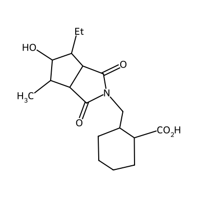 CCC1C(O)C(C)C2C(=O)N(CC3CCCCC3C(=O)O)C(=O)C12